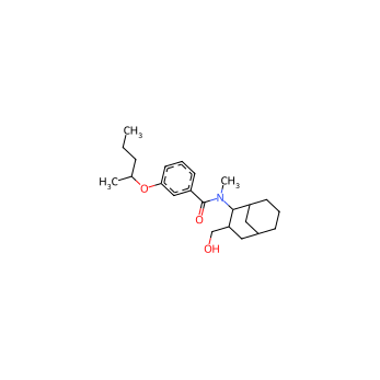 CCCC(C)Oc1cccc(C(=O)N(C)C2C(CO)CC3CCCC2C3)c1